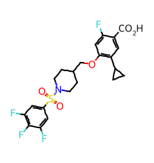 O=C(O)c1cc(C2CC2)c(OCC2CCN(S(=O)(=O)c3cc(F)c(F)c(F)c3)CC2)cc1F